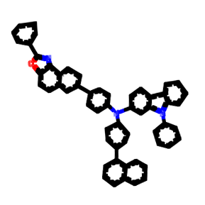 c1ccc(-c2nc3c(ccc4cc(-c5ccc(N(c6ccc(-c7cccc8ccccc78)cc6)c6ccc7c8ccccc8n(-c8ccccc8)c7c6)cc5)ccc43)o2)cc1